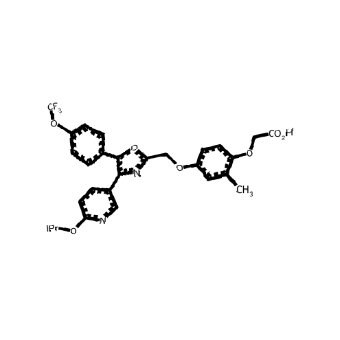 Cc1cc(OCc2nc(-c3ccc(OC(C)C)nc3)c(-c3ccc(OC(F)(F)F)cc3)o2)ccc1OCC(=O)O